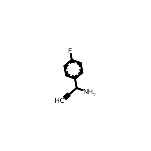 C#CC(N)c1ccc(F)cc1